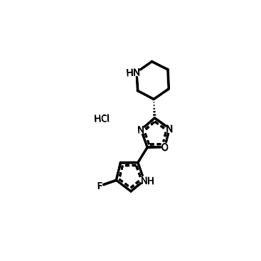 Cl.Fc1c[nH]c(-c2nc([C@H]3CCCNC3)no2)c1